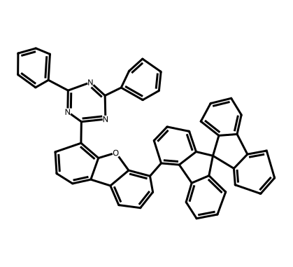 c1ccc(-c2nc(-c3ccccc3)nc(-c3cccc4c3oc3c(-c5cccc6c5-c5ccccc5C65c6ccccc6-c6ccccc65)cccc34)n2)cc1